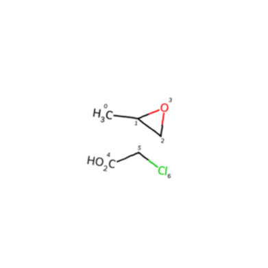 CC1CO1.O=C(O)CCl